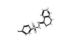 Cc1ccc(S(=O)(=O)O/N=C2\CCCc3cnccc32)cc1